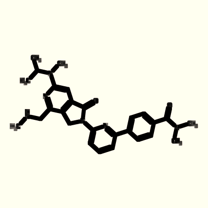 CNCc1nc(N(C)C(C)C)cc2c1CN(c1cccc(-c3ccc(C(=O)N(C)C)cc3)n1)C2=O